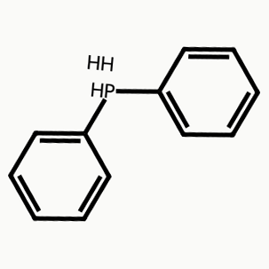 [HH].c1ccc(Pc2ccccc2)cc1